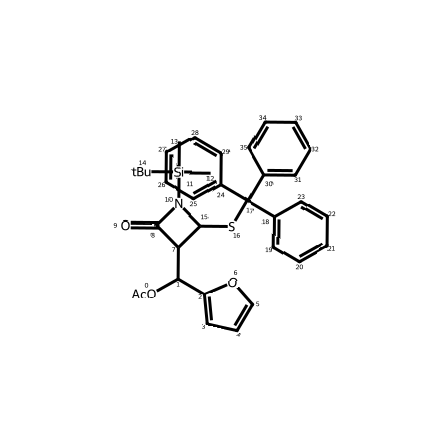 CC(=O)OC(c1ccco1)C1C(=O)N([Si](C)(C)C(C)(C)C)C1SC(c1ccccc1)(c1ccccc1)c1ccccc1